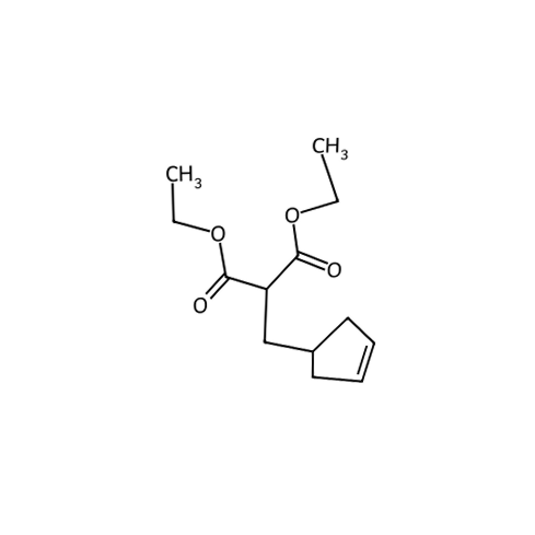 CCOC(=O)C(CC1CC=CC1)C(=O)OCC